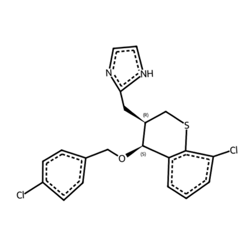 Clc1ccc(CO[C@@H]2c3cccc(Cl)c3SC[C@@H]2Cc2ncc[nH]2)cc1